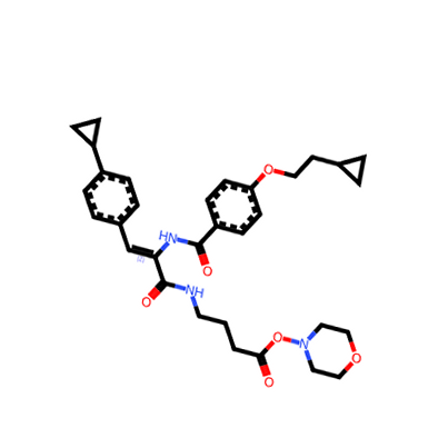 O=C(CCCNC(=O)/C(=C/c1ccc(C2CC2)cc1)NC(=O)c1ccc(OCCC2CC2)cc1)ON1CCOCC1